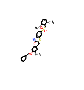 Cc1cccc(C)c1CS(=O)(=O)c1ccc2c(c1)S/C(=C/c1ccc(OCc3ccccc3)c([N+](=O)[O-])c1)C(=O)N2